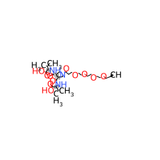 C#CCOCCOCCOCCOCCC(=O)N1C[C@@H](C(=O)N[C@H](C(=O)O)C(C)C)[C@H](C(=O)N[C@H](C(=O)O)C(C)C)C1